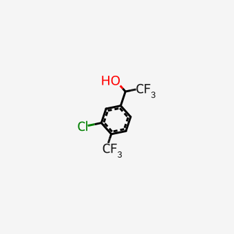 OC(c1ccc(C(F)(F)F)c(Cl)c1)C(F)(F)F